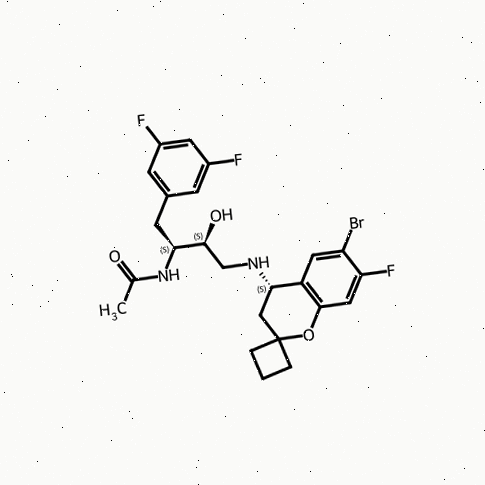 CC(=O)N[C@@H](Cc1cc(F)cc(F)c1)[C@@H](O)CN[C@H]1CC2(CCC2)Oc2cc(F)c(Br)cc21